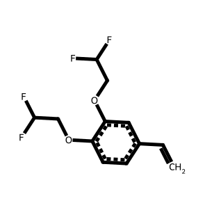 C=Cc1ccc(OCC(F)F)c(OCC(F)F)c1